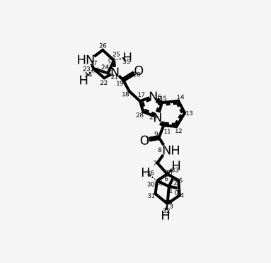 CC1(C)[C@@H]2CC[C@@H](CNC(=O)c3cccc4nc(CC(=O)N5C[C@@H]6C[C@H]5CN6)cn34)[C@@H]1C2